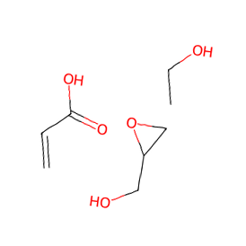 C=CC(=O)O.CCO.OCC1CO1